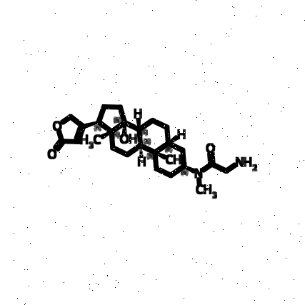 CN(C(=O)CN)[C@H]1CC[C@@]2(C)[C@H](CC[C@@H]3[C@@H]2CC[C@]2(C)[C@@H](C4=CC(=O)OC4)CC[C@]32O)C1